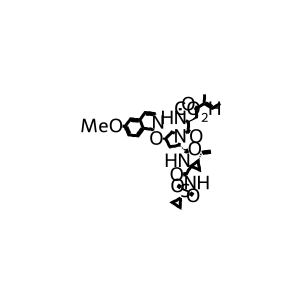 C=C[C@@H]1C[C@]1(NC(=O)[C@@H]1C[C@@H](Oc2nccc3cc(OC)ccc23)CN1C(=O)[C@H](CC(=O)C(C)=CC)NC(=O)O)C(=O)NS(=O)(=O)C1CC1